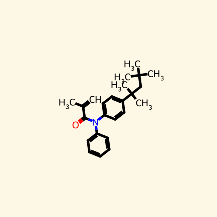 C=C(C)C(=O)N(c1ccccc1)c1ccc(C(C)(C)CC(C)(C)C)cc1